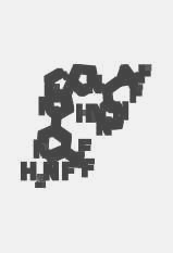 Nc1ncc(-c2cc3n(n2)CC[C@@]32CCN([C@H](c3ncn[nH]3)[C@H]3CC3(F)F)C2)cc1C(F)(F)F